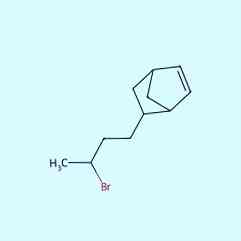 CC(Br)CCC1CC2C=CC1C2